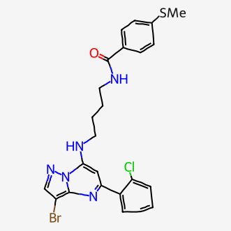 CSc1ccc(C(=O)NCCCCNc2cc(-c3ccccc3Cl)nc3c(Br)cnn23)cc1